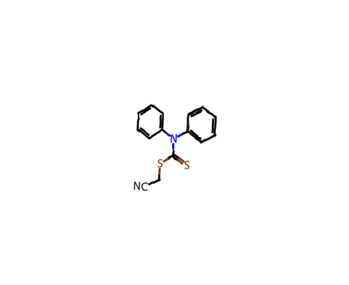 N#CCSC(=S)N(c1ccccc1)c1ccccc1